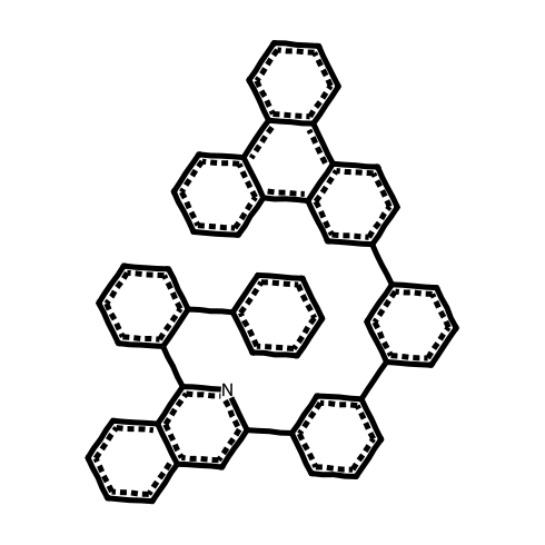 c1ccc(-c2ccccc2-c2nc(-c3cccc(-c4cccc(-c5ccc6c7ccccc7c7ccccc7c6c5)c4)c3)cc3ccccc23)cc1